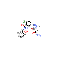 Cc1nn(-c2ccc(Cl)c(C(=O)NCC3(O)CCCCCC3)c2)c(=O)n1CC(N)=O